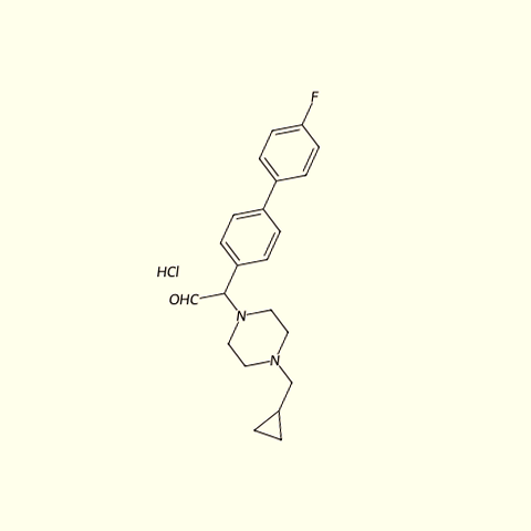 Cl.O=CC(c1ccc(-c2ccc(F)cc2)cc1)N1CCN(CC2CC2)CC1